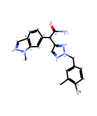 Cc1cc(Cn2ncc(C(C(N)=O)c3ccc4cnn(C)c4c3)n2)ccc1C#N